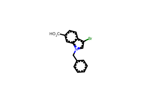 O=C(O)c1ccc2c(Br)cn(Cc3ccccc3)c2c1